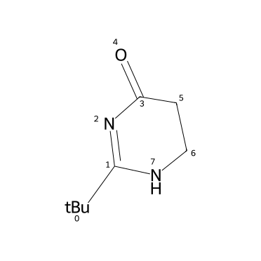 CC(C)(C)C1=NC(=O)CCN1